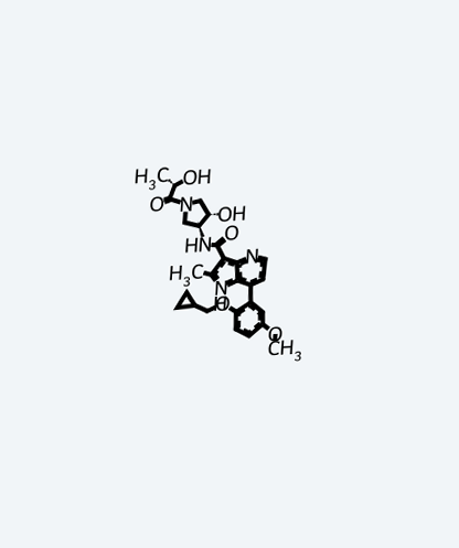 COc1ccc(OCC2CC2)c(-c2ccnc3c(C(=O)N[C@H]4CN(C(=O)[C@H](C)O)C[C@@H]4O)c(C)[nH]c23)c1